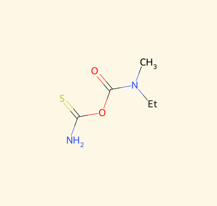 CCN(C)C(=O)OC(N)=S